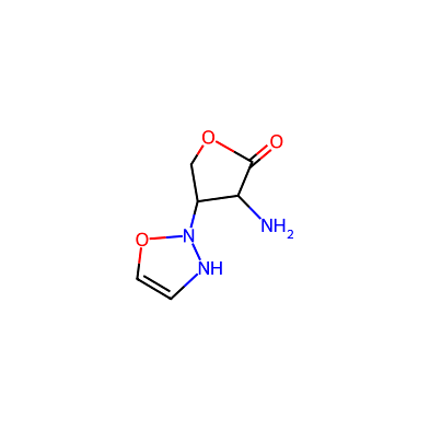 NC1C(=O)OCC1N1NC=CO1